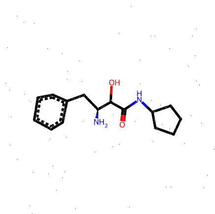 N[C@@H](Cc1ccccc1)C(O)C(=O)NC1CCCC1